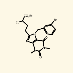 CCOC(=O)C(CC)CCc1nc2c(c(=O)n(C)c(=O)n2C)n1Cc1cccc(Br)c1